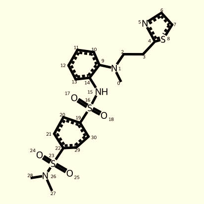 CN(CCc1nccs1)c1ccccc1NS(=O)(=O)c1ccc(S(=O)(=O)N(C)C)cc1